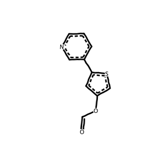 O=COc1csc(-c2cccnc2)c1